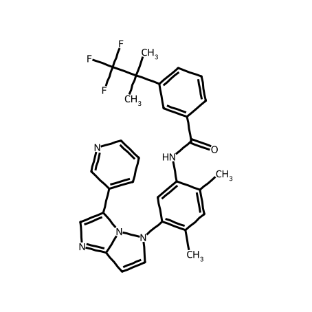 Cc1cc(C)c(-n2ccc3ncc(-c4cccnc4)n32)cc1NC(=O)c1cccc(C(C)(C)C(F)(F)F)c1